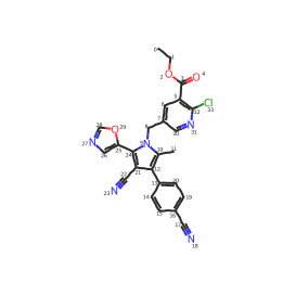 CCOC(=O)c1cc(Cn2c(C)c(-c3ccc(C#N)cc3)c(C#N)c2-c2cnco2)cnc1Cl